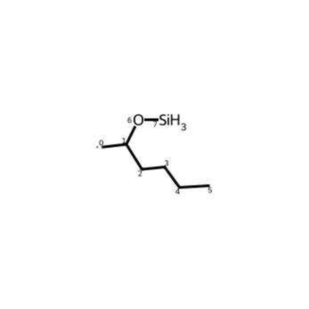 [CH2]C(CCCC)O[SiH3]